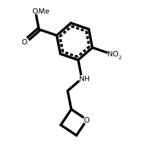 COC(=O)c1ccc([N+](=O)[O-])c(NCC2CCO2)c1